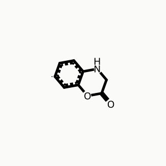 O=C1CNc2cc[c]cc2O1